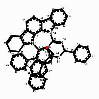 C1=Cc2c(n(-c3cccc(-c4ccccc4)c3-c3ccccc3)c3c2ccc2c4ccccc4n(C4=NC(c5ccccc5)NC(c5ccccc5)N4)c23)CC1